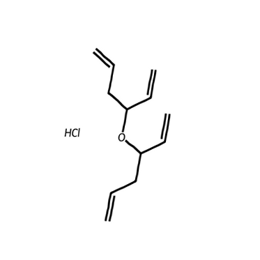 C=CCC(C=C)OC(C=C)CC=C.Cl